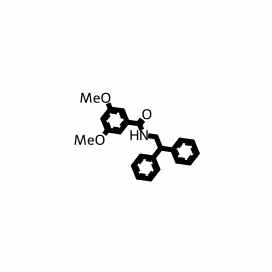 COc1cc(OC)cc(C(=O)NCC(c2ccccc2)c2ccccc2)c1